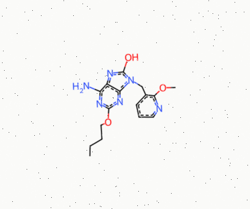 CCCCOc1nc(N)c2nc(O)n(Cc3cccnc3OC)c2n1